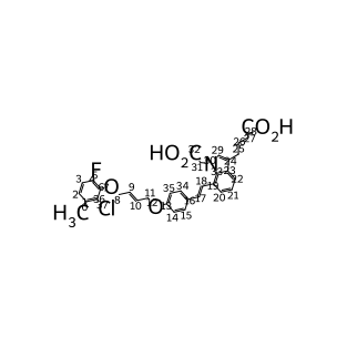 Cc1ccc(F)c(OC/C=C/COc2ccc(/C=C/c3cccc4c(CCCC(=O)O)cn(CC(=O)O)c34)cc2)c1Cl